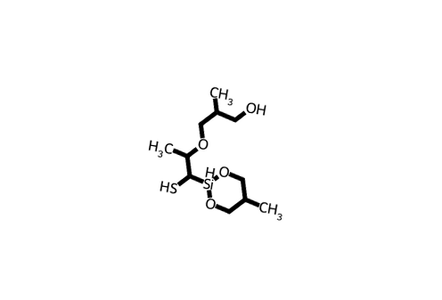 CC(CO)COC(C)C(S)[SiH]1OCC(C)CO1